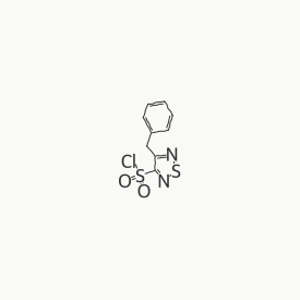 O=S(=O)(Cl)c1nsnc1Cc1ccccc1